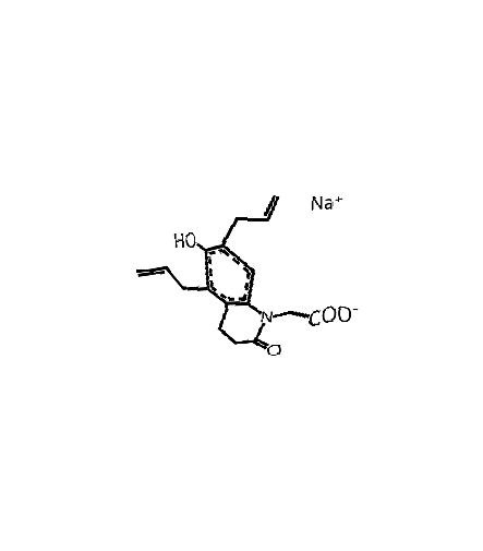 C=CCc1cc2c(c(CC=C)c1O)CCC(=O)N2CC(=O)[O-].[Na+]